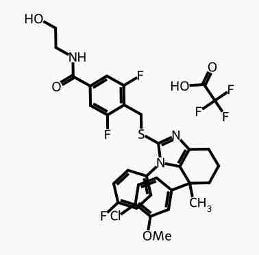 COc1cc(C2(C)CCCc3nc(SCc4c(F)cc(C(=O)NCCO)cc4F)n(-c4ccc(F)cc4)c32)ccc1Cl.O=C(O)C(F)(F)F